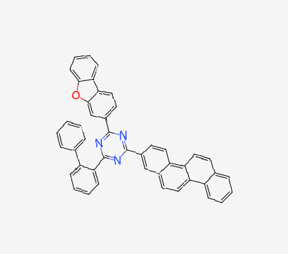 c1ccc(-c2ccccc2-c2nc(-c3ccc4c(ccc5c6ccccc6ccc45)c3)nc(-c3ccc4c(c3)oc3ccccc34)n2)cc1